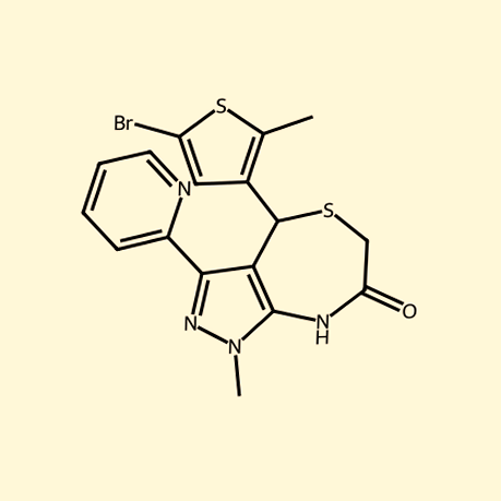 Cc1sc(Br)cc1C1SCC(=O)Nc2c1c(-c1ccccn1)nn2C